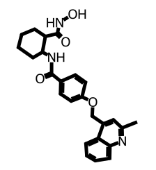 Cc1cc(COc2ccc(C(=O)NC3CCCCC3C(=O)NO)cc2)c2ccccc2n1